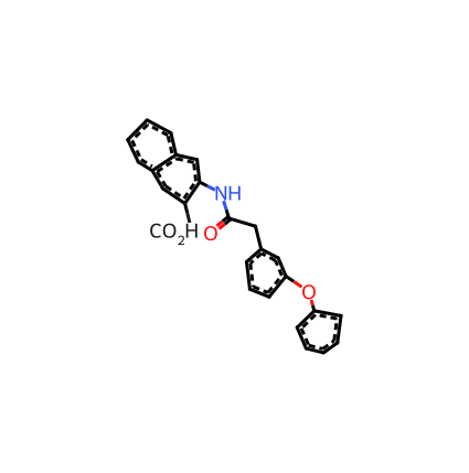 O=C(Cc1cccc(Oc2ccccc2)c1)Nc1cc2ccccc2cc1C(=O)O